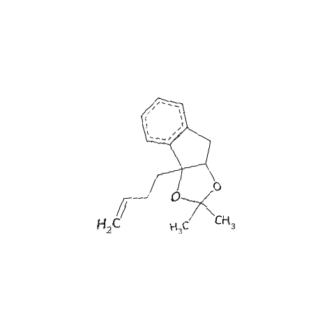 C=CCCC12OC(C)(C)OC1Cc1ccccc12